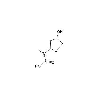 CN(C(=O)O)C1CCC(O)C1